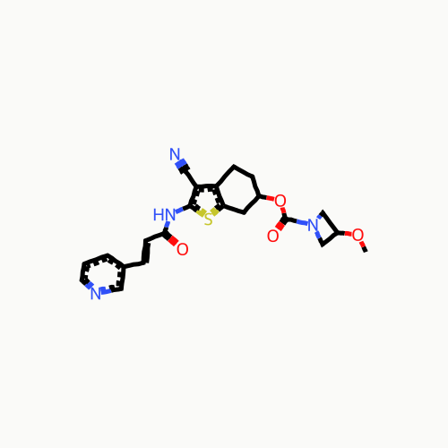 COC1CN(C(=O)OC2CCc3c(sc(NC(=O)C=Cc4cccnc4)c3C#N)C2)C1